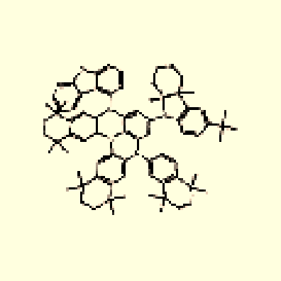 CC1(C)CCC(C)(C)C2=CC3C(C=C21)B1c2cc4c(cc2N(c2ccc5c(c2)C(C)(C)CCC5(C)C)c2cc(N5c6ccc(C(C)(C)C)cc6C6(C)CCCCC56C)cc(c21)N3c1cccc2sc3ccccc3c12)C(C)(C)CCC4(C)C